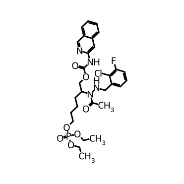 CCOP(=O)(OCC)OCCCCC(COC(=O)Nc1cc2ccccc2cn1)N(NCc1cccc(F)c1Cl)C(C)=O